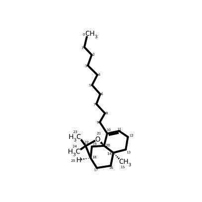 CCCCCCCCCCC1=CCC[C@@]2(C)CC[C@@H]3C[C@]12OC3(C)C